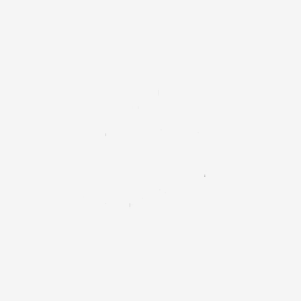 COc1c2sc3ccsc3c2c(OC)c2c1sc1ccsc12